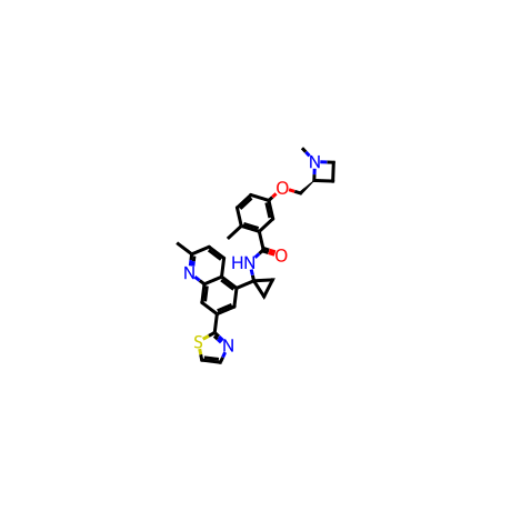 Cc1ccc2c(C3(NC(=O)c4cc(OC[C@@H]5CCN5C)ccc4C)CC3)cc(-c3nccs3)cc2n1